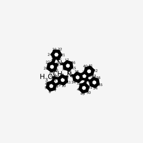 CC1(C)c2ccccc2-c2ccc(N(c3cccc(-n4c5ccccc5c5ccccc54)c3)c3ccc4c(c3)-c3ccccc3C4(c3ccccc3)c3ccccc3)cc21